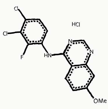 COc1ccc2c(Nc3ccc(Cl)c(Cl)c3F)ncnc2c1.Cl